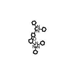 c1ccc(-c2cc(-c3ccc4c(c3)oc3c(-c5nc(-c6ccccc6)nc(-c6ccccc6)n5)cccc34)nc(-c3ccccc3)n2)cc1